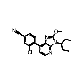 CCC(CC)n1c(OC)nc2c(-c3ccc(C#N)cc3Cl)ccnc21